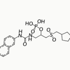 O=C(NCC(CS(=O)(=O)CC1CCCC1)OP(=O)(O)O)Nc1ccc2ccccc2c1